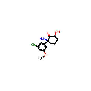 NC1(c2cc(Cl)cc(OC(F)(F)F)c2)CCCC(O)C1=O